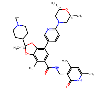 CSc1cc(C)[nH]c(=O)c1CNC(=O)c1cc(-c2ccc(N3C[C@@H](C)O[C@@H](C)C3)nc2)c2c(c1C)O[C@@](C)(C1CCN(C(C)C)CC1)O2